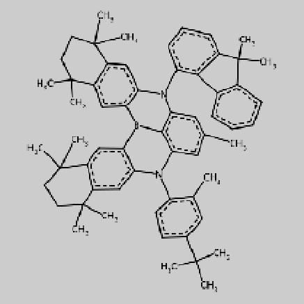 Cc1cc2c3c(c1)N(c1cccc4c1-c1ccccc1C4(C)C)c1cc4c(cc1B3c1cc3c(cc1N2c1ccc(C(C)(C)C)cc1C)C(C)(C)CCC3(C)C)C(C)(C)CCC4(C)C